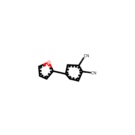 N#Cc1ccc(-c2ccco2)cc1C#N